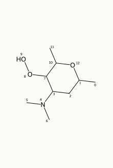 CC1CC(N(C)C)C(OO)C(C)O1